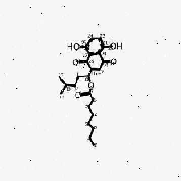 CCCCCCCC(=O)OC(CCC(C)C)C1=CC(=O)c2c(O)ccc(O)c2C1=O